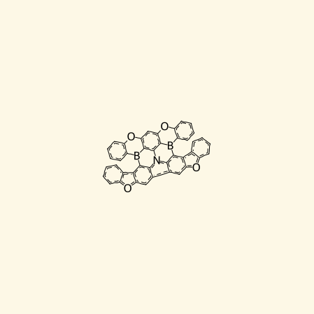 c1ccc2c(c1)Oc1cc3c4c5c1B2c1c2c(cc6c7cc8oc9ccccc9c8c(c7n-5c16)B4c1ccccc1O3)oc1ccccc12